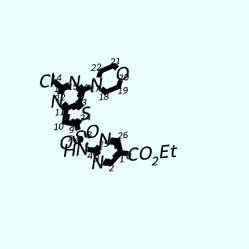 CCOC(=O)c1cnc(NS(=O)(=O)c2cc3nc(Cl)nc(N4CCOCC4)c3s2)nc1